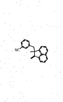 C=C1c2cccc3cccc(c23)C1(C)Cc1cccc(C#N)c1